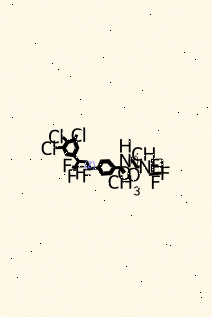 Cc1cc(/C(F)=C/C(c2cc(Cl)c(Cl)c(Cl)c2)C(F)(F)F)ccc1C(=O)N[C@H](C)C(=O)NCC(F)(F)F